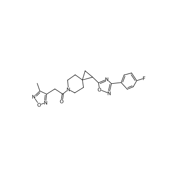 Cc1nonc1CC(=O)N1CCC2(CC1)CC2c1nc(-c2ccc(F)cc2)no1